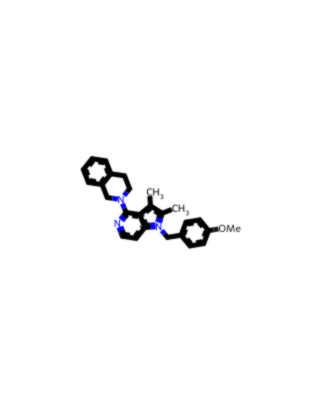 COc1ccc(Cn2c(C)c(C)c3c(N4CCc5ccccc5C4)nccc32)cc1